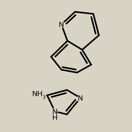 N.c1c[nH]cn1.c1ccc2ncccc2c1